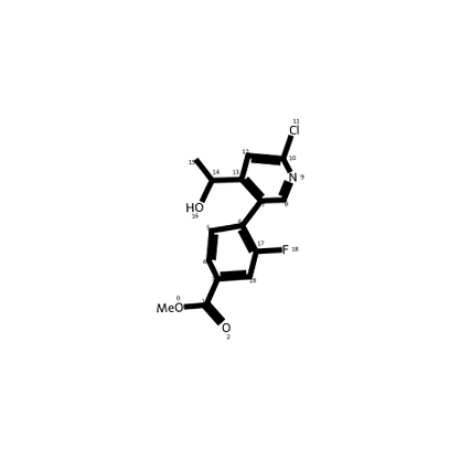 COC(=O)c1ccc(-c2cnc(Cl)cc2C(C)O)c(F)c1